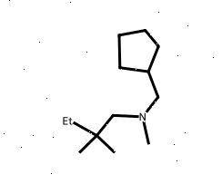 CCC(C)(C)CN(C)CC1CCCC1